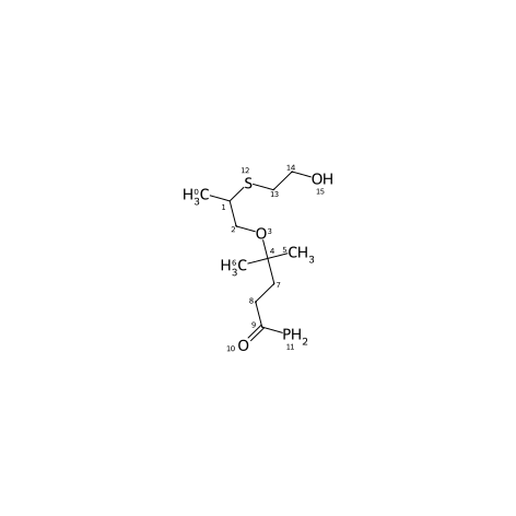 CC(COC(C)(C)CCC(=O)P)SCCO